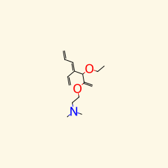 C=C/C=C(\C=C)C(OCC)C(=C)OCCN(C)C